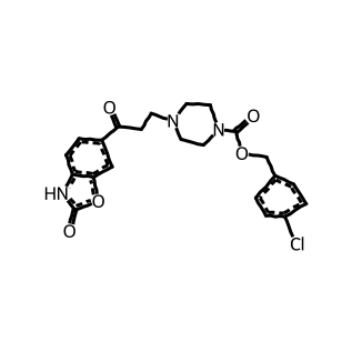 O=C(CCN1CCN(C(=O)OCc2ccc(Cl)cc2)CC1)c1ccc2[nH]c(=O)oc2c1